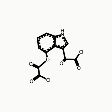 O=C(Cl)C(=O)Oc1cccc2[nH]cc(C(=O)C(=O)Cl)c12